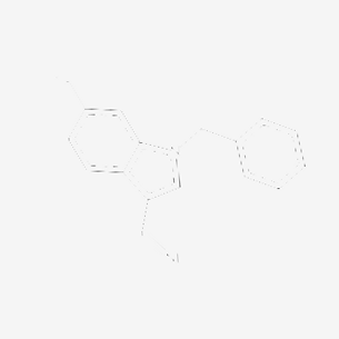 N=Cc1cn(Cc2ccccc2)c2cc(Cl)ccc12